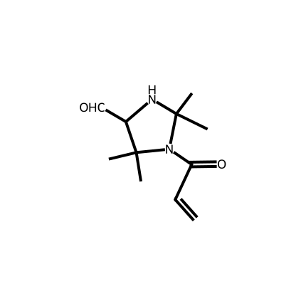 C=CC(=O)N1C(C)(C)NC(C=O)C1(C)C